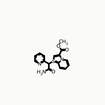 COC(=O)C1=CS(C(C(N)=O)c2ccccn2)=C2C=CC=CN12